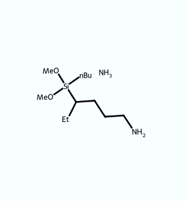 CCCC[Si](OC)(OC)C(CC)CCCN.N